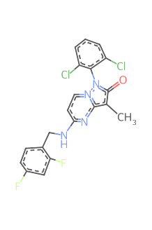 Cc1c(=O)n(-c2c(Cl)cccc2Cl)n2ccc(NCc3ccc(F)cc3F)nc12